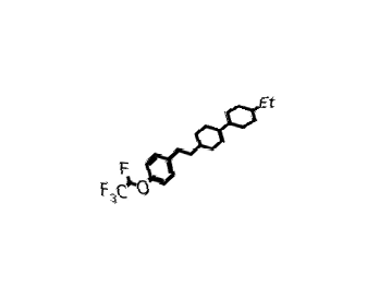 CCC1CCC(C2CCC(CCc3ccc(OC(F)C(F)(F)F)cc3)CC2)CC1